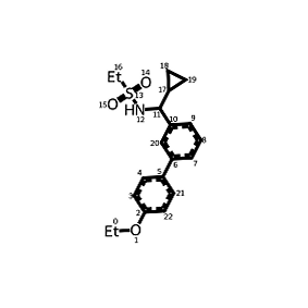 CCOc1ccc(-c2cccc(C(NS(=O)(=O)CC)C3CC3)c2)cc1